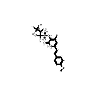 COc1ccc(C=Cc2cc(C)c(OS(=O)(=O)C(F)(F)C(F)C(F)(F)F)c(=O)[nH]2)cc1